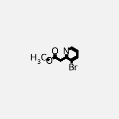 COC(=O)Cc1ncccc1Br